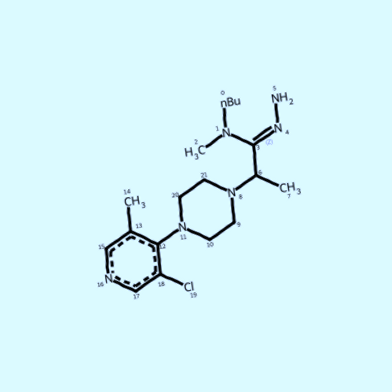 CCCCN(C)/C(=N\N)C(C)N1CCN(c2c(C)cncc2Cl)CC1